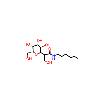 CCCCCCNC(=O)C(CO)C1O[C@H](CO)[C@H](O)[C@H](O)[C@H]1O